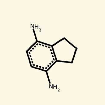 Nc1ccc(N)c2c1CCC2